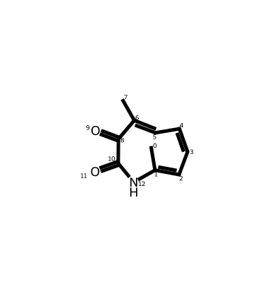 C\C1=C/C=C\C=C(/C)C(=O)C(=O)N1